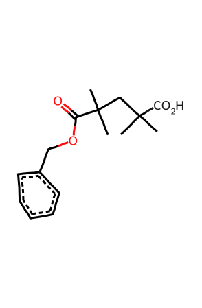 CC(C)(CC(C)(C)C(=O)OCc1ccccc1)C(=O)O